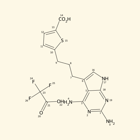 Nc1nc(N)c2c(CCCc3ccc(C(=O)O)s3)c[nH]c2n1.O=C(O)C(F)(F)F